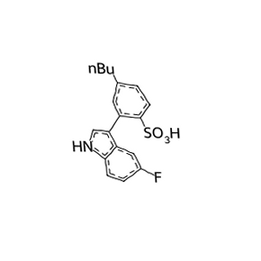 CCCCc1ccc(S(=O)(=O)O)c(-c2c[nH]c3ccc(F)cc23)c1